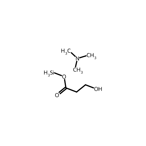 CN(C)C.O=C(CCO)O[SiH3]